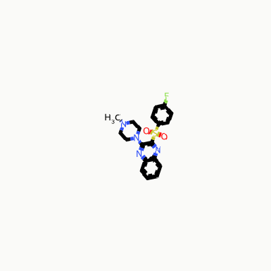 CN1CCN(c2nc3ccccc3nc2S(=O)(=O)c2ccc(F)cc2)CC1